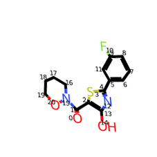 O=C(c1sc(-c2cccc(F)c2)nc1O)N1CCCCO1